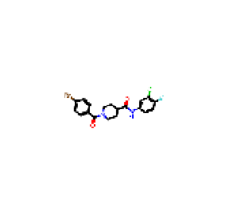 O=C(Nc1ccc(F)c(Cl)c1)C1CCN(C(=O)c2ccc(Br)cc2)CC1